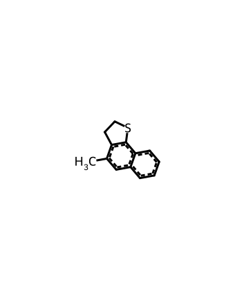 Cc1cc2ccccc2c2c1CCS2